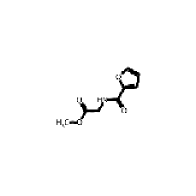 COC(=O)CNC(=O)c1ccco1